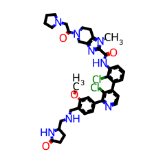 COc1cc(-c2nccc(-c3cccc(NC(=O)c4nc5c(n4C)CCN(C(=O)CN4CCCC4)C5)c3Cl)c2Cl)ccc1CNCC1CCC(=O)N1